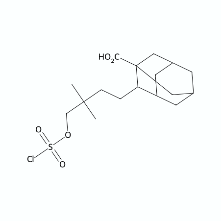 CC(C)(CCC1C2CC3CC(C2)CC1(C(=O)O)C3)COS(=O)(=O)Cl